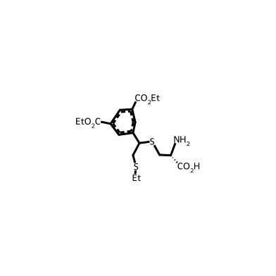 CCOC(=O)c1cc(C(=O)OCC)cc(C(CSCC)SC[C@H](N)C(=O)O)c1